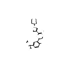 Cc1ccc(C(OC(=O)C(F)(F)F)(C(N)=O)C(F)(F)F)cc1-c1cnc(N)c(-c2cnn(C3CCOCC3)c2)n1